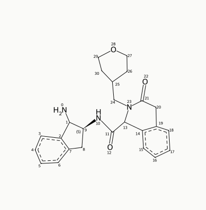 NC1c2ccccc2C[C@@H]1NC(=O)C1c2ccccc2CC(=O)N1CC1CCOCC1